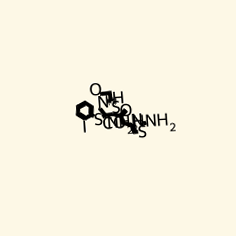 Nc1nc(CC(=O)C2(N)S[C@@H]3CC(=O)N3CC2(Sc2ccccc2I)C(=O)O)cs1